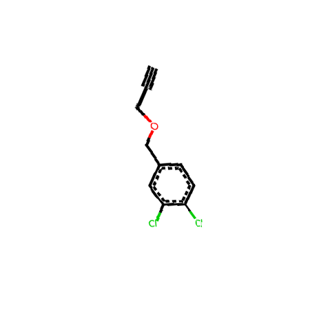 C#CCOCc1ccc(Cl)c(Cl)c1